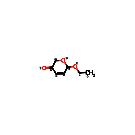 CCOC1C=CC(=O)CO1